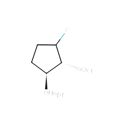 CCCCCCCC[C@H]1C(F)CC[C@@H]1CCCCCCC